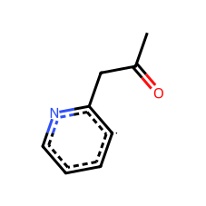 CC(=O)Cc1[c]cccn1